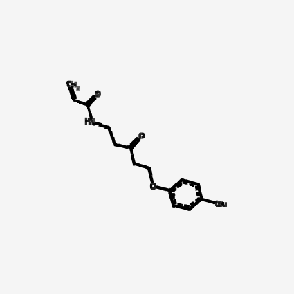 C=CC(=O)NCCC(=O)CCOc1ccc(C(C)(C)C)cc1